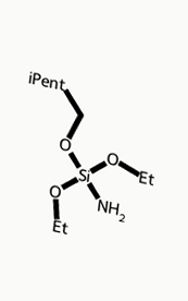 CCCC(C)CO[Si](N)(OCC)OCC